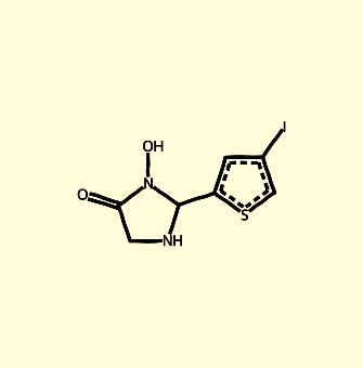 O=C1CNC(c2cc(I)cs2)N1O